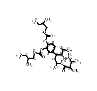 CCC(C)COC(=O)Oc1ccc(C(CC(C)OC(=O)C(C)C(C)C)[C@H](N)C(=O)O)cc1OC(=O)OCC(C)CC